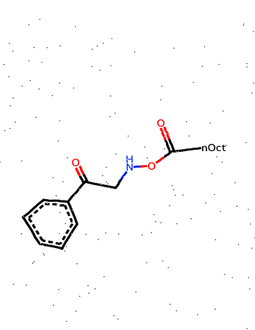 CCCCCCCCC(=O)ONCC(=O)c1ccccc1